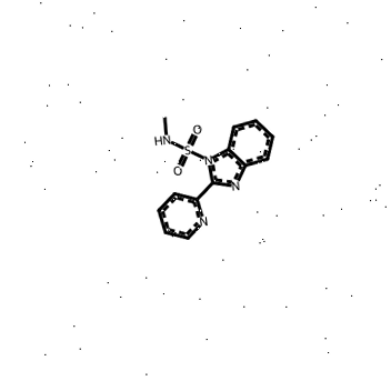 CNS(=O)(=O)n1c(-c2ccccn2)nc2ccccc21